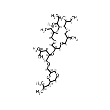 CCC(C)COCC(C)COCC(COCC(CC)OCC(C)CC)OC(COCC1COCC(CC(C)C)O1)CC(C)C